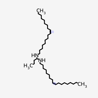 CCCCCCCC/C=C\CCCCCCCCNC(CCC)NCCCCCCCC/C=C\CCCCCCCC